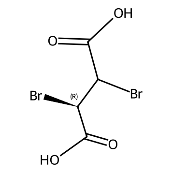 O=C(O)C(Br)[C@H](Br)C(=O)O